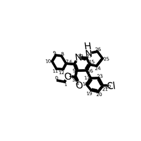 CCOC(=O)c1c(C2CCCCC2)nc2c(c1-c1cccc(Cl)c1)CCCN2